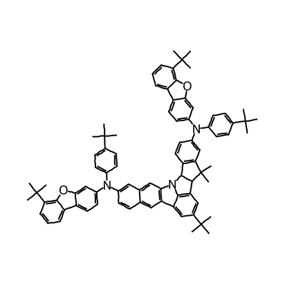 CC(C)(C)c1ccc(N(c2ccc3c(c2)C(C)(C)C2c4cc(C(C)(C)C)cc5c6cc7ccc(N(c8ccc(C(C)(C)C)cc8)c8ccc9c(c8)oc8c(C(C)(C)C)cccc89)cc7cc6n(c45)C32)c2ccc3c(c2)oc2c(C(C)(C)C)cccc23)cc1